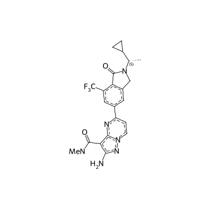 CNC(=O)c1c(N)nn2ccc(-c3cc4c(c(C(F)(F)F)c3)C(=O)N([C@@H](C)C3CC3)C4)nc12